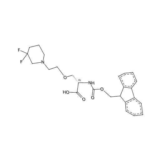 O=C(N[C@@H](COCCN1CCCC(F)(F)C1)C(=O)O)OCC1c2ccccc2-c2ccccc21